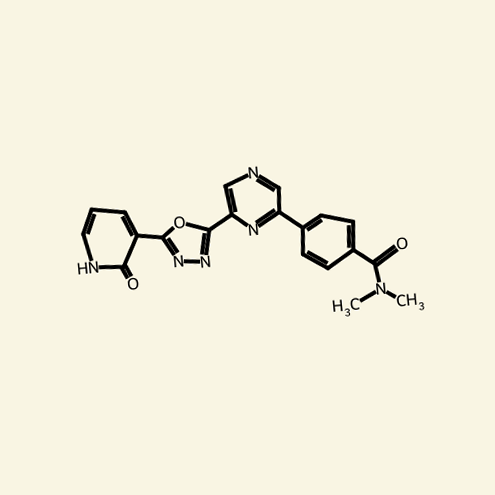 CN(C)C(=O)c1ccc(-c2cncc(-c3nnc(-c4ccc[nH]c4=O)o3)n2)cc1